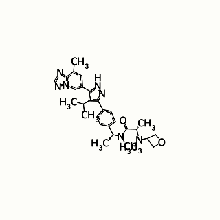 Cc1cc(-c2[nH]nc(-c3ccc([C@H](C)N(C)C(=O)[C@H](C)N(C)C4COC4)cc3)c2C(C)C)cn2ncnc12